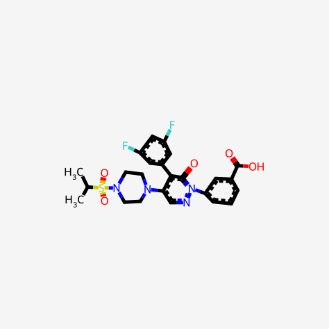 CC(C)S(=O)(=O)N1CCN(c2cnn(-c3cccc(C(=O)O)c3)c(=O)c2-c2cc(F)cc(F)c2)CC1